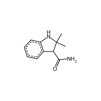 CC1(C)Nc2ccccc2C1C(N)=O